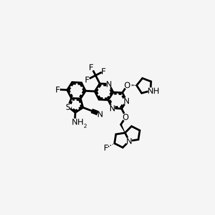 N#Cc1c(N)sc2c(F)ccc(-c3cc4nc(OC[C@@]56CCCN5C[C@H](F)C6)nc(O[C@@H]5CCNC5)c4nc3C(F)(F)F)c12